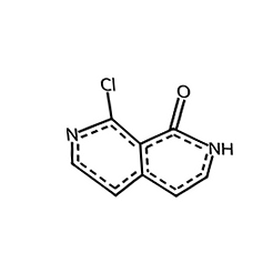 O=c1[nH]ccc2ccnc(Cl)c12